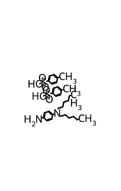 CCCCCCN(CCCCCC)c1ccc(N)cc1.Cc1ccc(S(=O)(=O)O)cc1.Cc1ccc(S(=O)(=O)O)cc1